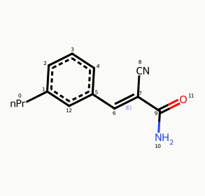 CCCc1cccc(/C=C(\C#N)C(N)=O)c1